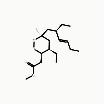 CC/C=C/[C@H](CC)C[C@@]1(C)C[C@@H](CC)[C@@H](CC(=O)OC)OO1